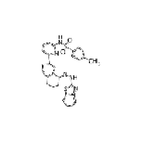 Cc1ccc(S(=O)(=O)Nc2cccc(-c3ccc4c(c3)C(=NNc3nc5ccccc5s3)CCC4)n2)cc1